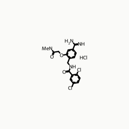 CNC(=O)COc1cc(C(=N)N)ccc1CNC(=O)c1cc(Cl)ccc1Cl.Cl